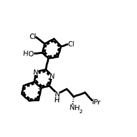 CC(C)C[C@H](N)CNc1nc(-c2cc(Cl)cc(Cl)c2O)nc2ccccc12